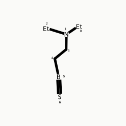 CCN(CC)CCB=S